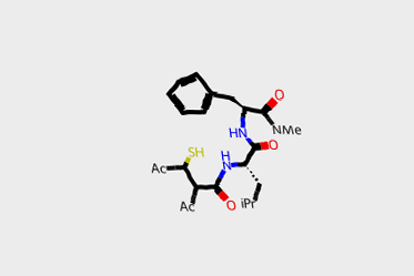 CNC(=O)[C@H](Cc1ccccc1)NC(=O)[C@H](CC(C)C)NC(=O)C(C(C)=O)C(S)C(C)=O